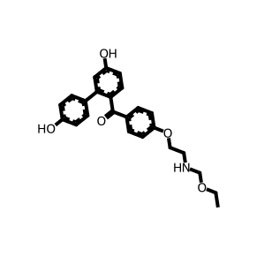 CCOCNCCOc1ccc(C(=O)c2ccc(O)cc2-c2ccc(O)cc2)cc1